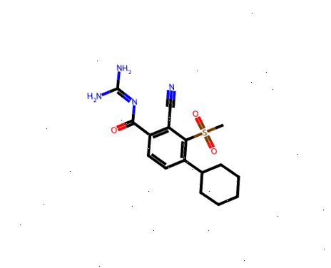 CS(=O)(=O)c1c(C2CCCCC2)ccc(C(=O)N=C(N)N)c1C#N